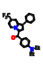 CCN(CC)c1ccc(C(=O)c2cc(-c3ccccc3)c3cc(C(F)(F)F)ccn23)cc1